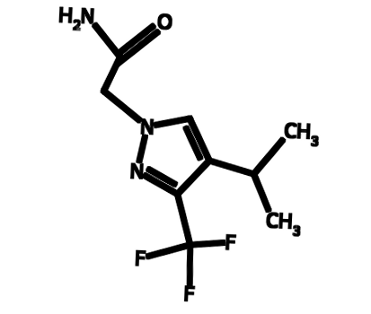 CC(C)c1cn(CC(N)=O)nc1C(F)(F)F